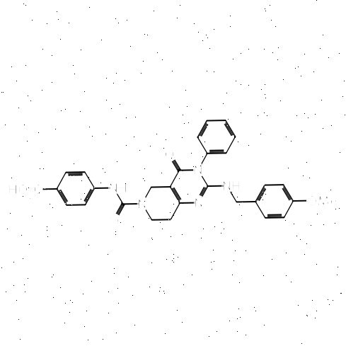 COc1ccc(CNc2nc3c(c(=O)n2-c2ccccc2)CN(C(=O)Nc2ccc(C(=O)O)cc2)CC3)cc1